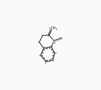 C=C1CCc2ccccc2N1C(C)C